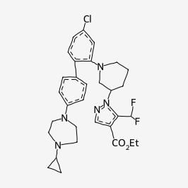 CCOC(=O)c1cnn(C2CCCN(c3cc(Cl)ccc3-c3ccc(N4CCN(C5CC5)CC4)cc3)C2)c1C(F)F